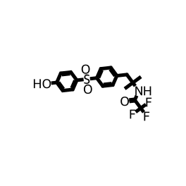 CC(C)(Cc1ccc(S(=O)(=O)c2ccc(O)cc2)cc1)NC(=O)C(F)(F)F